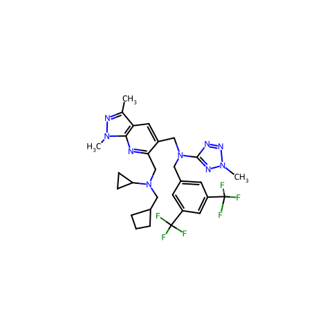 Cc1nn(C)c2nc(CN(CC3CCC3)C3CC3)c(CN(Cc3cc(C(F)(F)F)cc(C(F)(F)F)c3)c3nnn(C)n3)cc12